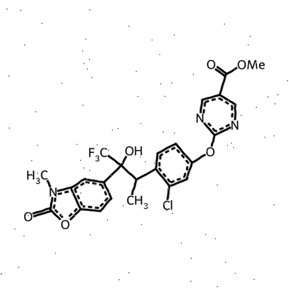 COC(=O)c1cnc(Oc2ccc(C(C)C(O)(c3ccc4oc(=O)n(C)c4c3)C(F)(F)F)c(Cl)c2)nc1